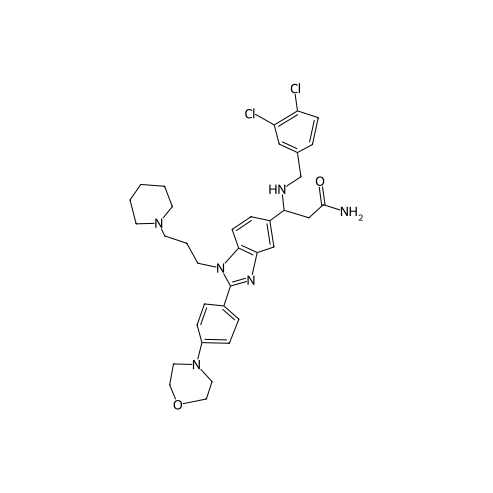 NC(=O)CC(NCc1ccc(Cl)c(Cl)c1)c1ccc2c(c1)nc(-c1ccc(N3CCOCC3)cc1)n2CCCN1CCCCC1